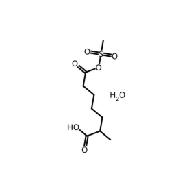 CC(CCCCC(=O)OS(C)(=O)=O)C(=O)O.O